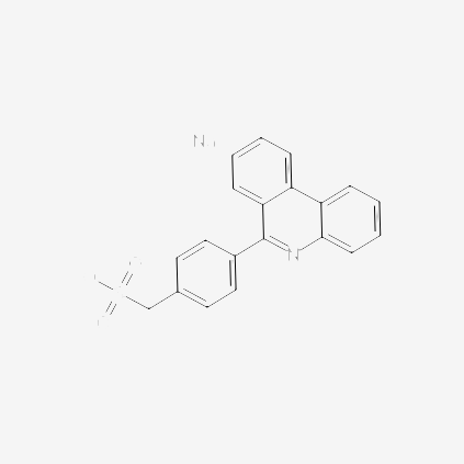 O=S(=O)([O-])Cc1ccc(-c2nc3ccccc3c3ccccc23)cc1.[Na+]